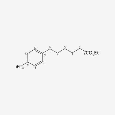 CCOC(=O)CCCCCc1ccc(C(C)C)cc1